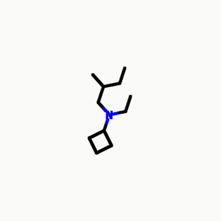 CCC(C)CN(CC)C1CCC1